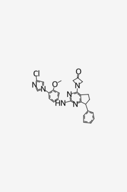 COc1cc(Nc2nc3c(c(N4CC(=O)C4)n2)CCC3c2ccccc2)ccc1-n1cnc(Cl)c1